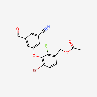 CC(=O)OCc1ccc(Br)c(Oc2cc(C#N)cc(C=O)c2)c1F